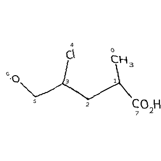 CC(CC(Cl)C[O])C(=O)O